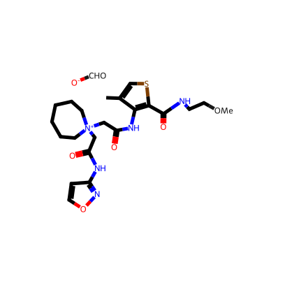 COCCNC(=O)c1scc(C)c1NC(=O)C[N+]1(CC(=O)Nc2ccon2)CCCCCC1.O=C[O-]